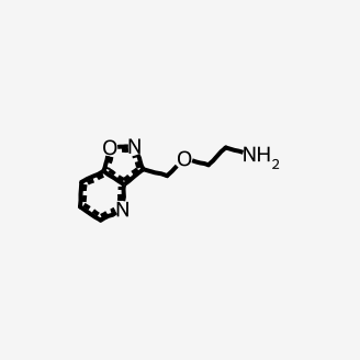 NCCOCc1noc2cccnc12